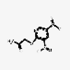 CC(=O)COc1ncc([N+](=O)[O-])cc1[N+](=O)[O-]